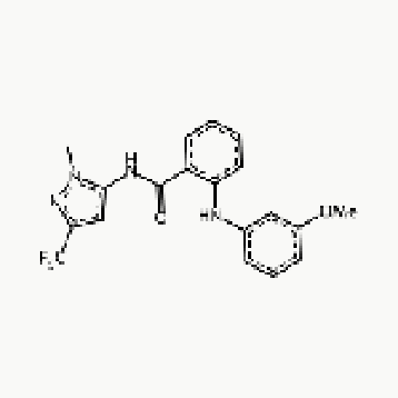 COc1cccc(Nc2ccccc2C(=O)Nc2cc(C(F)(F)F)nn2C)c1